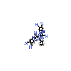 N#CC(=C1N=c2cc(C#N)c(C#N)cc2=N1)c1nc(C(C#N)=C2N=c3cc(C#N)c(C#N)cc3=N2)nc(-c2ccccc2)n1